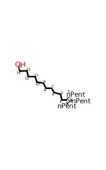 CCCCC[Si](CCCCC)(CCCCC)CCCCCCCCCCCO